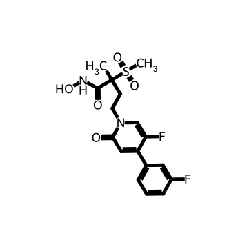 CC(CCn1cc(F)c(-c2cccc(F)c2)cc1=O)(C(=O)NO)S(C)(=O)=O